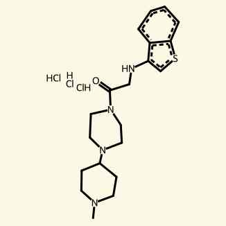 CN1CCC(N2CCN(C(=O)CNc3csc4ccccc34)CC2)CC1.Cl.Cl.Cl